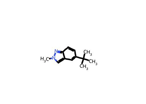 Cn1cc2cc(C(C)(C)C)ccc2n1